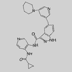 O=C(Nc1cnccc1NC(=O)C1CC1)c1n[nH]c2ccc(-c3cncc(N4CCCCC4)c3)cc12